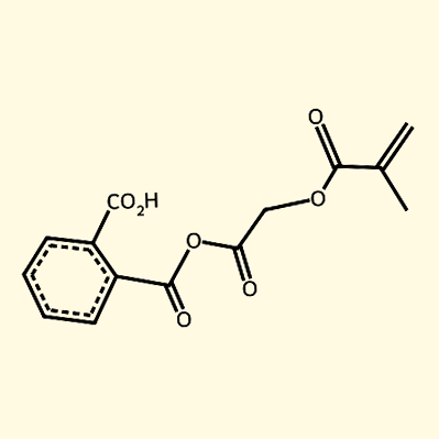 C=C(C)C(=O)OCC(=O)OC(=O)c1ccccc1C(=O)O